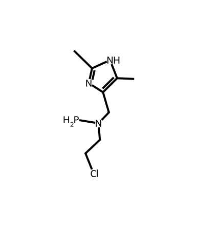 Cc1nc(CN(P)CCCl)c(C)[nH]1